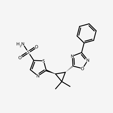 CC1(C)[C@@H](c2nc(-c3ccccc3)no2)[C@@H]1c1ncc(S(N)(=O)=O)s1